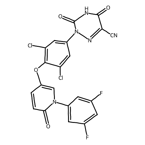 N#Cc1nn(-c2cc(Cl)c(Oc3ccc(=O)n(-c4cc(F)cc(F)c4)c3)c(Cl)c2)c(=O)[nH]c1=O